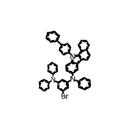 Brc1cc(N(c2ccccc2)c2ccccc2)cc(N(c2ccccc2)c2ccc3c(c2)c2ccc4ccccc4c2n3-c2ccc(-c3ccccc3)cc2)c1